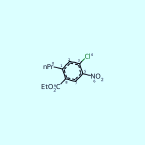 CCCc1cc(Cl)c([N+](=O)[O-])cc1C(=O)OCC